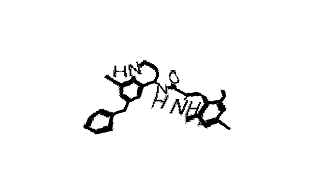 Cc1cc(C)c(C[C@H](N)C(=O)N[C@@H]2CCNc3c(C)cc(Cc4ccccc4)cc32)c(C)c1